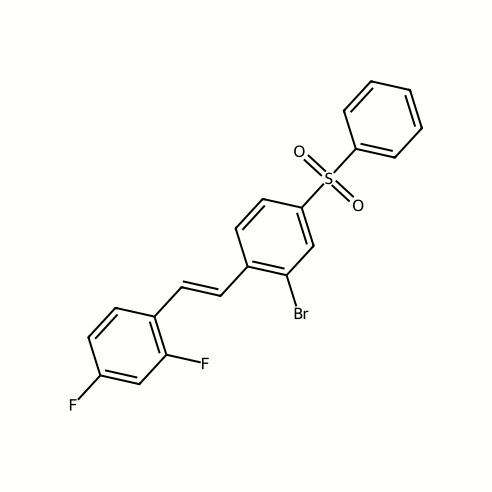 O=S(=O)(c1ccccc1)c1ccc(C=Cc2ccc(F)cc2F)c(Br)c1